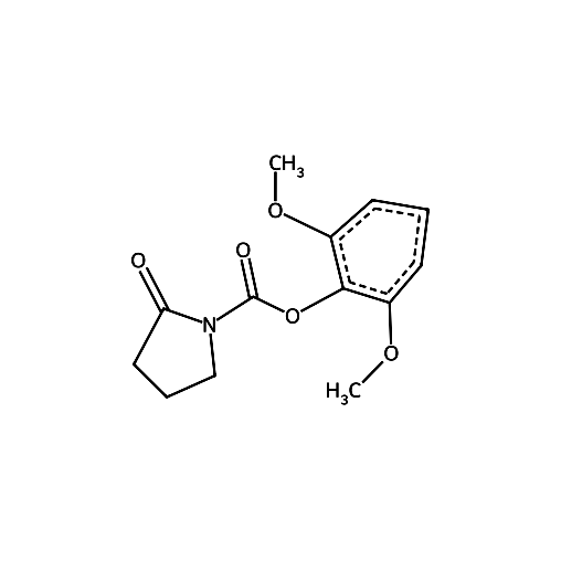 COc1cccc(OC)c1OC(=O)N1CCCC1=O